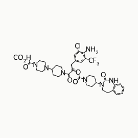 Nc1c(Cl)cc(C[C@@H](OC(=O)N2CCC(N3CCc4ccccc4NC3=O)CC2)C(=O)N2CCC(N3CCN(C(=O)C(=O)O)CC3)CC2)cc1C(F)(F)F